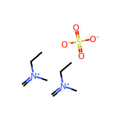 C=[N+](C)CC.C=[N+](C)CC.O=S(=O)([O-])[O-]